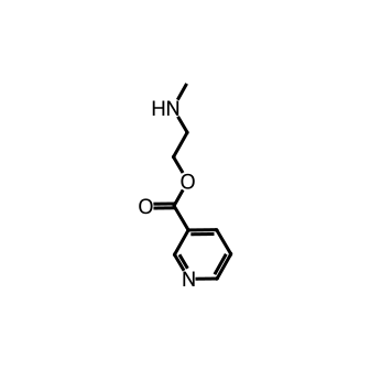 CNCCOC(=O)c1cccnc1